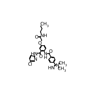 CCCCNC(=O)COc1ccc(NC(=O)c2ccc(C(=N)N(C)C)cc2)c(C(=O)Nc2ccc(Cl)cn2)c1